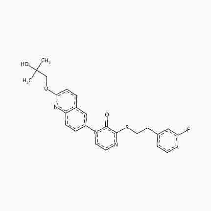 CC(C)(O)COc1ccc2cc(-n3ccnc(SCCc4cccc(F)c4)c3=O)ccc2n1